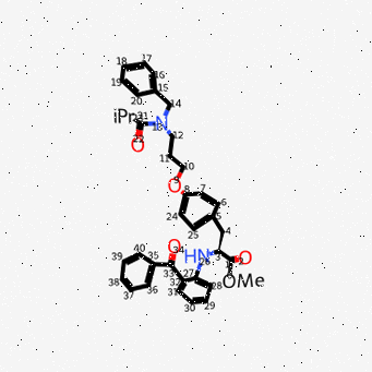 COC(=O)[C@H](Cc1ccc(OCCCN(Cc2ccccc2)C(=O)C(C)C)cc1)Nc1ccccc1C(=O)c1ccccc1